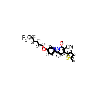 Cc1ccc(C2=C(C#N)C(=O)N[C@](C)(c3ccc(OCCCCCC(F)(F)F)cc3)C2)s1